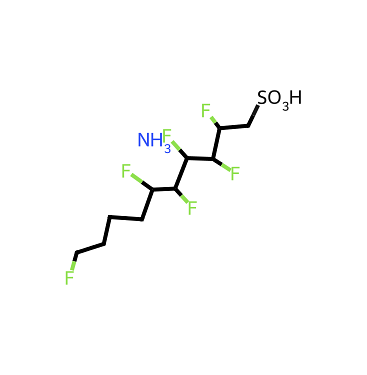 N.O=S(=O)(O)CC(F)C(F)C(F)C(F)C(F)CCCCF